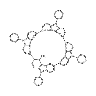 CC1c2c3n(-c4ccccc4)c4ccc(cc24)-c2ccc4c(c2)c2cc(ccc2n4-c2ccccc2)-c2ccc4c(c2)c2cc(ccc2n4-c2ccccc2)-c2ccc4c(c2)c2cc(ccc2n4-c2ccccc2)C1C=C3